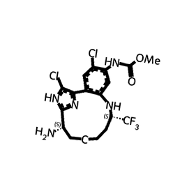 COC(=O)Nc1cc2c(cc1Cl)-c1nc([nH]c1Cl)[C@@H](N)CCCC[C@@H](C(F)(F)F)N2